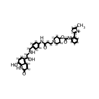 Cc1csc(-c2ccccc2NC(=O)OC2CCN(CCC(=O)Nc3ccc(CNC[C@H](O)c4ccc(O)c5[nH]c(=O)ccc45)cc3)CC2)n1